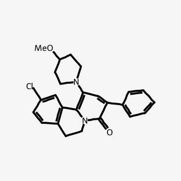 COC1CCN(c2cc(-c3ccccc3)c(=O)n3c2-c2cc(Cl)ccc2CC3)CC1